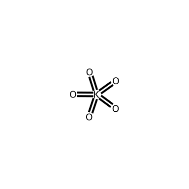 [O]=[K](=[O])(=[O])(=[O])=[O]